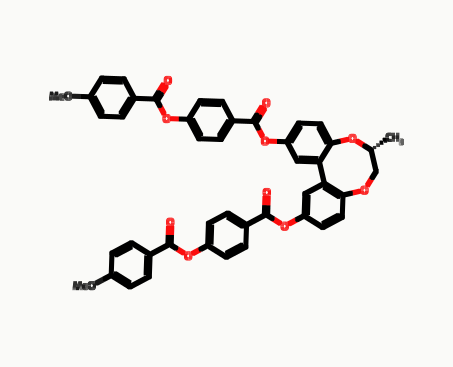 COc1ccc(C(=O)Oc2ccc(C(=O)Oc3ccc4c(c3)-c3cc(OC(=O)c5ccc(OC(=O)c6ccc(OC)cc6)cc5)ccc3O[C@H](C)CO4)cc2)cc1